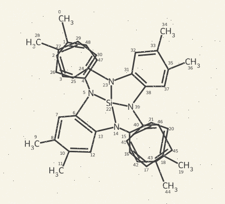 Cc1ccc(N2c3cc(C)c(C)cc3N(c3ccc(C)cc3)[Si]23N(c2ccc(C)cc2)c2cc(C)c(C)cc2N3c2ccc(C)cc2)cc1